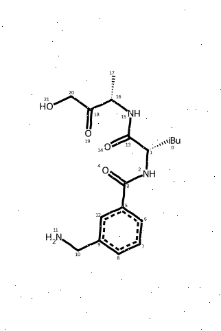 CCC(C)[C@H](NC(=O)c1cccc(CN)c1)C(=O)N[C@@H](C)C(=O)CO